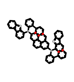 c1ccc(-c2ccccc2N(c2cc3ccc4cc(N(c5ccccc5-c5ccccc5)c5cccc6c5oc5ccccc56)cc5ccc(c2)c3c45)c2cccc3c2oc2ccccc23)cc1